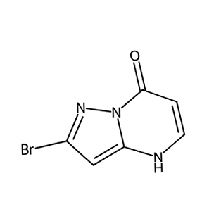 O=c1cc[nH]c2cc(Br)nn12